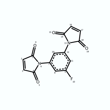 O=C1C=CC(=O)N1c1cc(F)cc(N2C(=O)C=CC2=O)c1